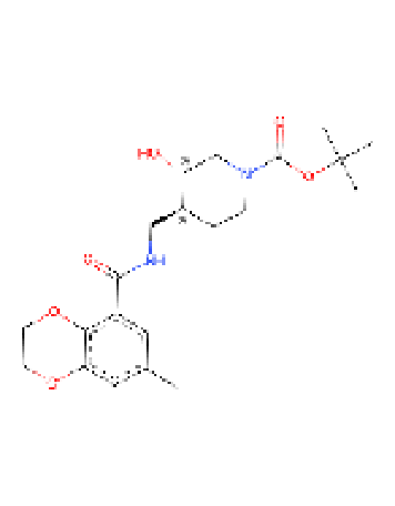 Cc1cc2c(c(C(=O)NC[C@@H]3CCN(C(=O)OC(C)(C)C)C[C@H]3O)c1)OCCO2